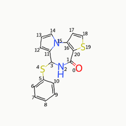 O=C1NC(Sc2ccccc2)c2cccn2-c2ccsc21